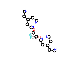 CC(c1ccc(Oc2ccc(-c3cccc(-c4cc(-c5cccc(-c6cccnc6)c5)cc(-c5cccc(-c6cccnc6)c5)c4)c3)cn2)cc1)(c1ccc(Oc2ccc(-c3cccc(-c4cc(-c5cccc(-c6cccnc6)c5)cc(-c5cccc(-c6cccnc6)c5)c4)c3)cn2)cc1)C(F)(F)F